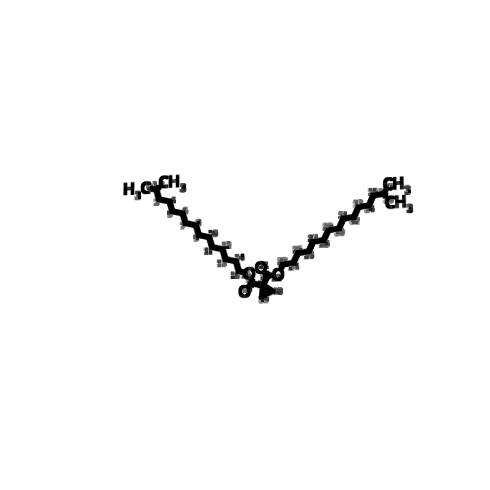 CC(C)CCCCCCCCCCCCCOC(=O)C1(C(=O)OCCCCCCCCCCCCCC(C)C)CC1